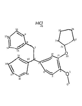 COc1ccc(C(Cc2ccncc2)c2ccccc2)cc1OC1CCCC1.Cl